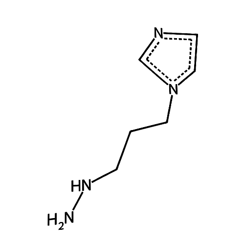 NNCCCn1ccnc1